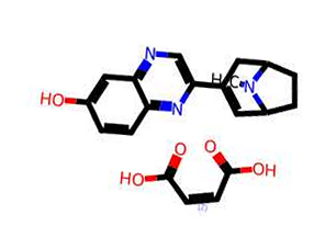 CN1C2C=C(c3cnc4cc(O)ccc4n3)CC1CC2.O=C(O)/C=C\C(=O)O